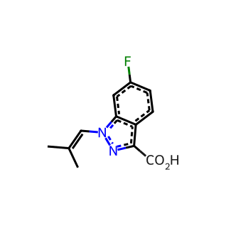 CC(C)=Cn1nc(C(=O)O)c2ccc(F)cc21